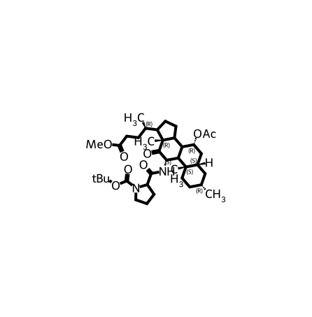 COC(=O)CC[C@@H](C)C1CCC2C3C([C@H](NC(=O)C4CCCN4C(=O)OC(C)(C)C)C(=O)[C@@]21C)[C@@]1(C)CC[C@@H](C)C[C@H]1C[C@H]3OC(C)=O